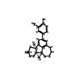 Fc1ccc(-c2cc3c4c(c2)[C@@H]2CNCC[C@@H]2N4CCCC3)cc1F